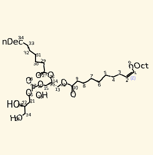 CCCCCCCC/C=C\CCCCCCCC(=O)OC[C@H](COP(=O)(O)OCC(O)CO)OC(=O)CCCCCCCCCCCCCCC